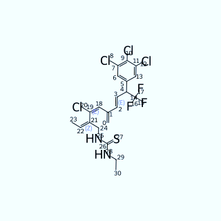 C=C(/C=C/C(c1cc(Cl)c(Cl)c(Cl)c1)C(F)(F)F)/C=C(Cl)\C(=C/C)CNC(=S)NCC